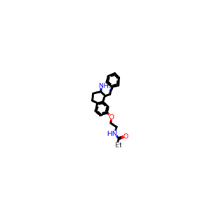 CCC(=O)NCCOc1ccc2c(c1)C(Cc1ccccc1)C(N)CC2